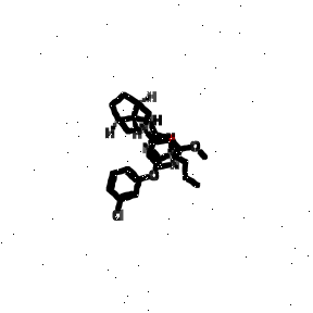 CCCn1nc(N[C@@H]2[C@@H]3CC[C@H]2CN(c2ccnc(OC)c2)C3)nc1Oc1cccc(Cl)c1